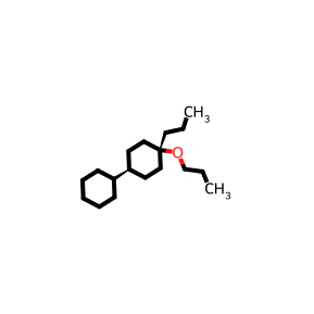 CCCO[C@]1(CCC)CC[C@@H](C2CCCCC2)CC1